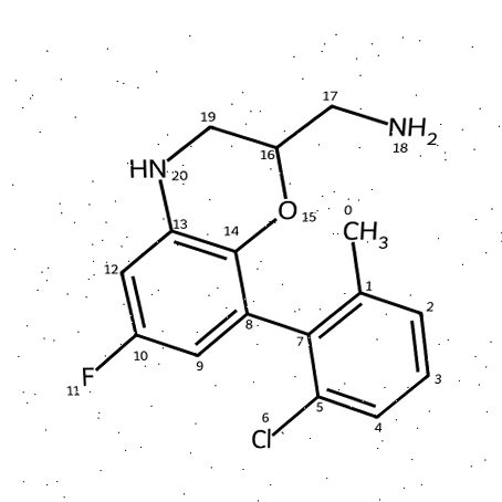 Cc1cccc(Cl)c1-c1cc(F)cc2c1OC(CN)CN2